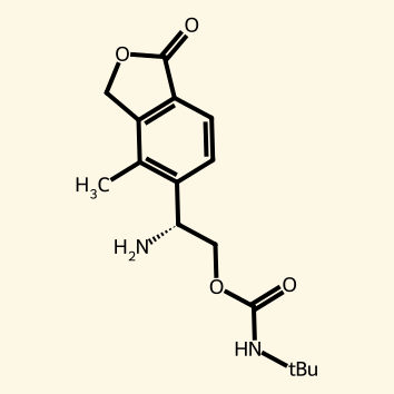 Cc1c([C@@H](N)COC(=O)NC(C)(C)C)ccc2c1COC2=O